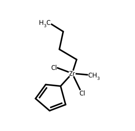 CCC[CH2][Zr]([CH3])([Cl])([Cl])[CH]1C=CC=C1